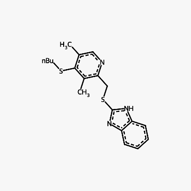 CCCCSc1c(C)cnc(CSc2nc3ccccc3[nH]2)c1C